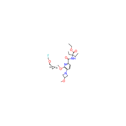 CCOC(=O)C(CC)(CC)NC(=O)c1ccc(N2CC(OC)C2)c(OC[C@@H]2C[C@H]2COCF)n1